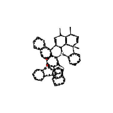 CC1C=CC2(C)C3=C1C(C)C=C(c1cc(-n4c5ccccc5c5ccccc54)cc4ccccc14)C3(C)N(c1cccc3c1sc1ccccc13)c1ccccc12